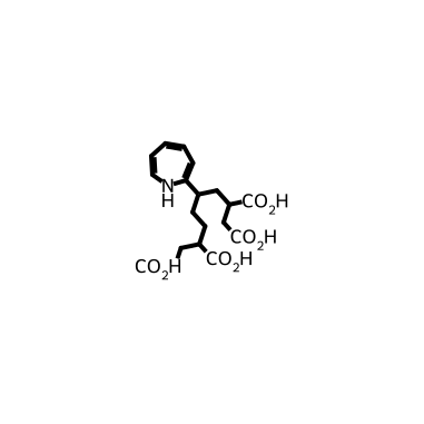 O=C(O)CC(CCC(CC(CC(=O)O)C(=O)O)C1=CC=CC=CN1)C(=O)O